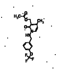 CC(=O)OCc1c(C)ccn(NCc2cccc(OC(F)(F)F)c2)c1=O